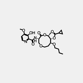 CCCCO[C@H]1CCOC[C@H](NC(=O)c2nccc(OC)c2O)C(=O)O[C@@H](C)[C@@H]1OC(=O)C1CC1